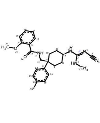 CN/C(=N\C#N)N[C@H]1CC[C@](CNC(=O)c2ccccc2OC)(c2ccc(F)cc2)CC1